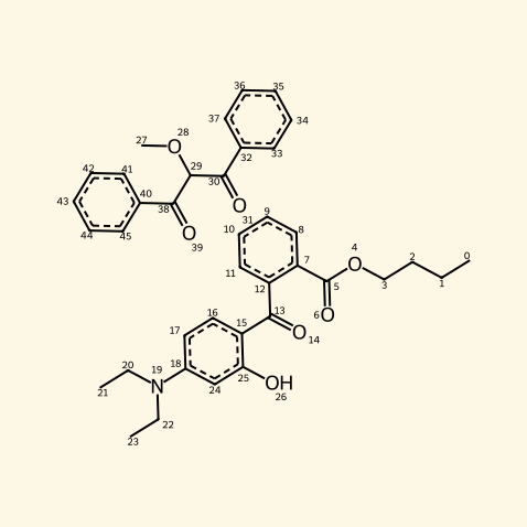 CCCCOC(=O)c1ccccc1C(=O)c1ccc(N(CC)CC)cc1O.COC(C(=O)c1ccccc1)C(=O)c1ccccc1